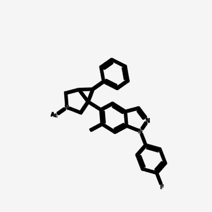 CC(=O)N1CC2C(c3ccccc3)C2(c2cc3cnn(-c4ccc(F)cc4)c3cc2C)C1